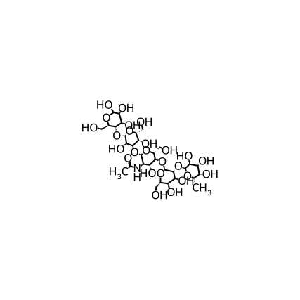 CC(=O)N[C@H]1[C@H](O[C@H]2[C@@H](O)[C@@H](CO)O[C@@H](O[C@H]3[C@H](O)[C@@H](O)C(O)O[C@@H]3CO)[C@@H]2O)O[C@H](CO)[C@@H](O[C@@H]2O[C@H](CO)[C@H](O)[C@H](O)[C@H]2O[C@@H]2O[C@@H](C)[C@@H](O)[C@@H](O)[C@@H]2O)[C@@H]1O